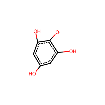 [O]c1c(O)cc(O)cc1O